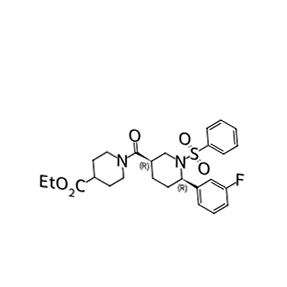 CCOC(=O)C1CCN(C(=O)[C@@H]2CC[C@H](c3cccc(F)c3)N(S(=O)(=O)c3ccccc3)C2)CC1